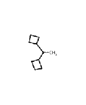 C[C](C1CCC1)C1CCC1